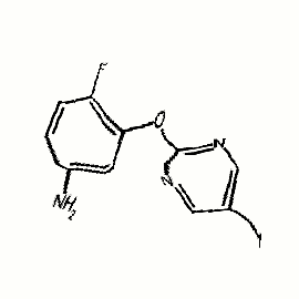 Nc1ccc(F)c(Oc2ncc(I)cn2)c1